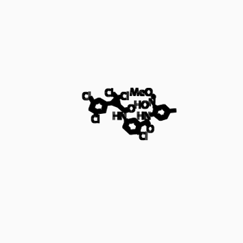 COCN(O)c1cc(C)ccc1NC(=O)c1cc(NC(=O)C2C(c3cc(Cl)cc(Cl)c3)C2(Cl)Cl)ccc1Cl